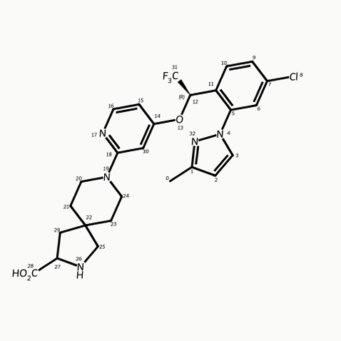 Cc1ccn(-c2cc(Cl)ccc2[C@@H](Oc2ccnc(N3CCC4(CC3)CNC(C(=O)O)C4)c2)C(F)(F)F)n1